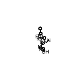 N#CCC(c1cccc(N(C(=O)C(F)(F)F)c2ccc(-c3ccccc3)cc2)c1)n1cc(-c2ncnc3c2ccn3O)cn1